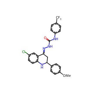 COc1ccc(C2CC(=NNC(=O)Nc3ccc(C(F)(F)F)cc3)c3cc(Cl)ccc3N2)cc1